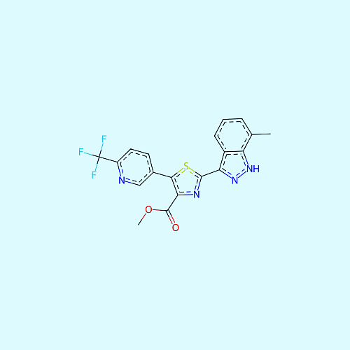 COC(=O)c1nc(-c2n[nH]c3c(C)cccc23)sc1-c1ccc(C(F)(F)F)nc1